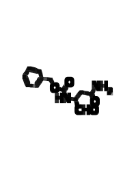 NC(=O)C[C@@H](C=O)NC(=O)OCc1ccccc1